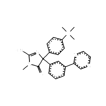 CN1C(=O)C(c2ccc([Si](C)(C)C)cc2)(c2cccc(-c3cnccn3)c2)N=C1N